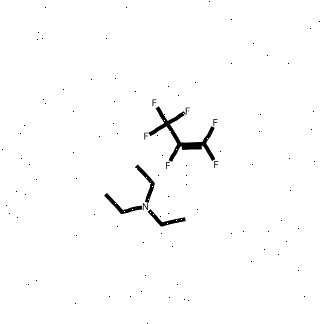 CCN(CC)CC.FC(F)=C(F)C(F)(F)F